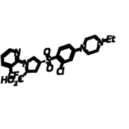 CCN1CCN(c2ccc(S(=O)(=O)[C@@H]3C[C@@H](C(=O)O)N(c4ncccc4C(F)(F)F)C3)c(Cl)c2)CC1